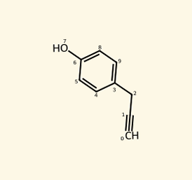 C#CCc1ccc(O)cc1